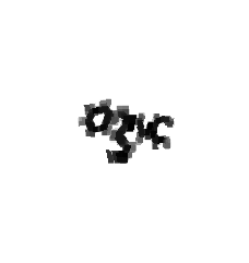 CCN(CC)CCN(CCO)Cc1ccccc1